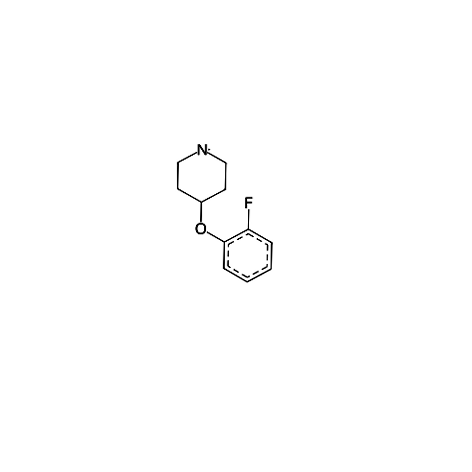 Fc1ccccc1OC1CC[N]CC1